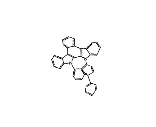 c1ccc(-c2ccc(-n3c4ccccc4c4c5ccccc5c5c6ccccc6n(-c6ccccc6)c5c43)cc2)cc1